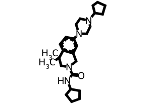 CC1(C)CN(C(=O)NC2CCCC2)Cc2cc(N3CCN(C4CCCC4)CC3)ccc21